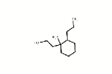 CCCC1CCCCC1(P)CCC